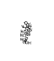 C[C@H](c1ccccc1)N(C)c1nc(C#N)nc2c1ncn2[C@@H]1O[C@H](COCP(=O)(O)O)[C@@H](O)[C@H]1O